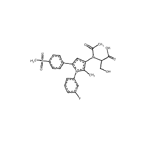 CC(=O)N(c1cc(-c2ccc(S(C)(=O)=O)cc2)n(-c2cccc(F)c2)c1C)C(CO)C(=O)O